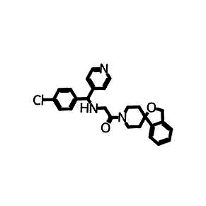 O=C(CNC(c1ccncc1)c1ccc(Cl)cc1)N1CCC2(CC1)OCc1ccccc12